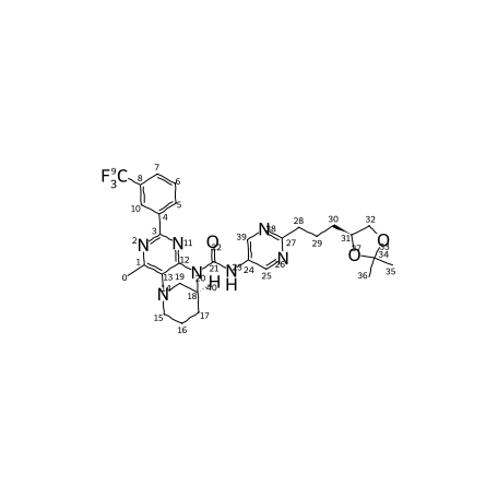 Cc1nc(-c2cccc(C(F)(F)F)c2)nc2c1N1CCC[C@@H](C1)N2C(=O)Nc1cnc(CCC[C@H]2COC(C)(C)O2)nc1